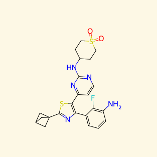 Nc1cccc(-c2nc(C34CC(C3)C4)sc2-c2ccnc(NC3CCS(=O)(=O)CC3)n2)c1F